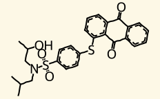 CC(C)CN(CC(C)O)S(=O)(=O)c1ccc(Sc2cccc3c2C(=O)c2ccccc2C3=O)cc1